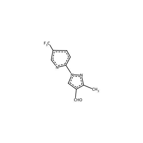 Cc1nn(-c2ccc(C(F)(F)F)cn2)cc1C=O